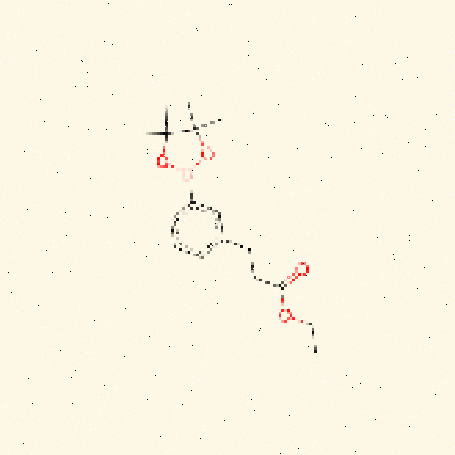 CCOC(=O)CCc1cccc(B2OC(C)(C)C(C)(C)O2)c1